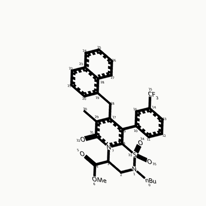 CCCCN1CC(C(=O)OC)n2c(c(-c3cccc(C(F)(F)F)c3)c(Cc3cccc4ccccc34)c(C)c2=O)S1(=O)=O